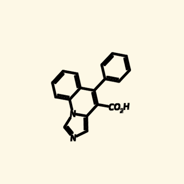 O=C(O)c1c(-c2ccccc2)c2ccccc2n2cncc12